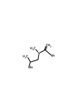 C=C(C(C)C)N(C)CC(C)C(C)(C)C